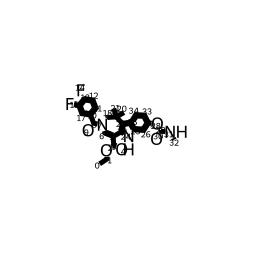 CCOC(=O)C1=CN(C(=O)c2ccc(F)c(F)c2)CC(C)(C)c2c1[nH]c1cc(OC(=O)NC)ccc21